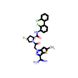 Cc1cc2c(s1)c(C(=N)N)nn2CC(=O)N1C[C@H](F)C[C@H]1C(=O)Nc1cccc(-c2ccccc2Cl)c1F